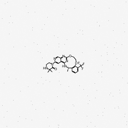 C[C@H]1Nc2nc(nc3cnc(N4CCNC(C)(C)C4=O)cc23)OCCOc2c1cccc2C(F)(F)F